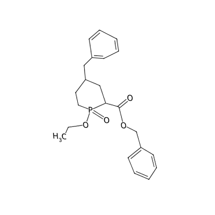 CCOP1(=O)CCC(Cc2ccccc2)CC1C(=O)OCc1ccccc1